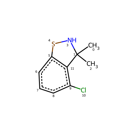 CC1(C)NSc2cccc(Cl)c21